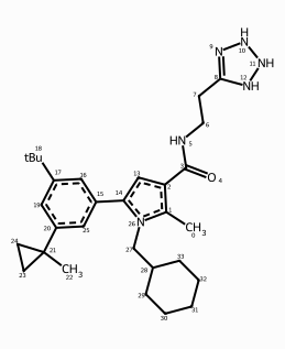 Cc1c(C(=O)NCCC2=NNNN2)cc(-c2cc(C(C)(C)C)cc(C3(C)CC3)c2)n1CC1CCCCC1